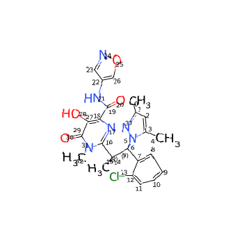 Cc1cc(C)n([C@@H](c2ccccc2Cl)[C@@H](C)c2nc(C(=O)Nc3cnoc3)c(O)c(=O)n2C)n1